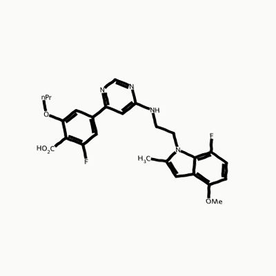 CCCOc1cc(-c2cc(NCCn3c(C)cc4c(OC)ccc(F)c43)ncn2)cc(F)c1C(=O)O